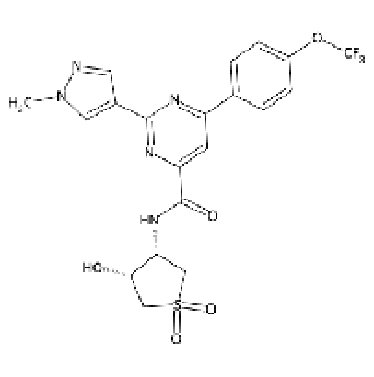 Cn1cc(-c2nc(C(=O)N[C@@H]3CS(=O)(=O)C[C@@H]3O)cc(-c3ccc(OC(F)(F)F)cc3)n2)cn1